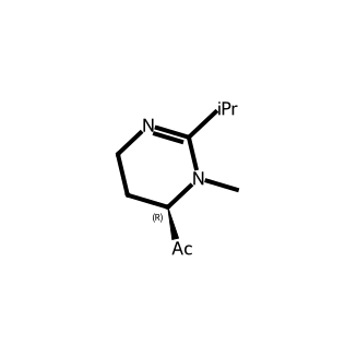 CC(=O)[C@H]1CCN=C(C(C)C)N1C